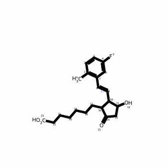 Cc1ccc(F)cc1/C=C/C1C(O)CC(=O)C1CCCCCCC(=O)O